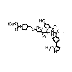 CC(C)C(C(=O)N1C[C@H](O)C[C@H]1C(=O)N[C@@H](C)c1ccc(-c2ccnn2C)cc1)c1cc(OCC2CCN(C(=O)OC(C)(C)C)CC2)no1